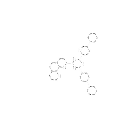 c1ccc(-c2ccc(-c3nc(-c4ccc(-c5ccccc5)cn4)nc(-c4ccc5ccc6cccnc6c5n4)n3)cc2)cc1